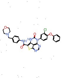 O=C(Nc1ccc(CN2CCOCC2)cc1)c1sc2ncnc3c2c1NC(=O)N3c1ccc(Oc2ccccc2)c(Cl)c1